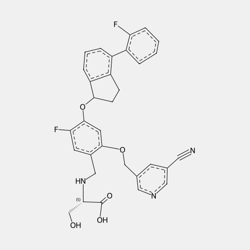 N#Cc1cncc(COc2cc(OC3CCc4c(-c5ccccc5F)cccc43)c(F)cc2CN[C@@H](CO)C(=O)O)c1